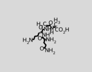 C[C@@H](NC(=O)[C@@H](C)NC(=O)[C@H](CCCCN)NC(=O)[C@@H](N)CCC(N)=O)C(=O)O